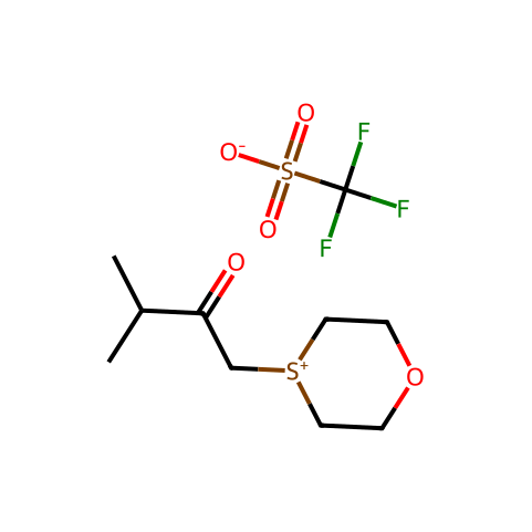 CC(C)C(=O)C[S+]1CCOCC1.O=S(=O)([O-])C(F)(F)F